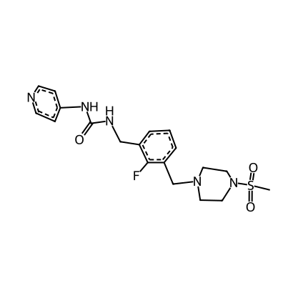 CS(=O)(=O)N1CCN(Cc2cccc(CNC(=O)Nc3ccncc3)c2F)CC1